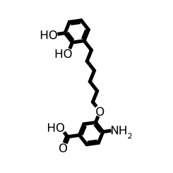 Nc1ccc(C(=O)O)cc1OCCCCCCc1cccc(O)c1O